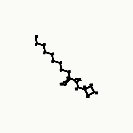 CCCCCCCCCC(=O)OCC1CCC1